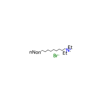 CCCCCCCCCCCCCCCCCC[N+](C)(CC)CC.[Br-]